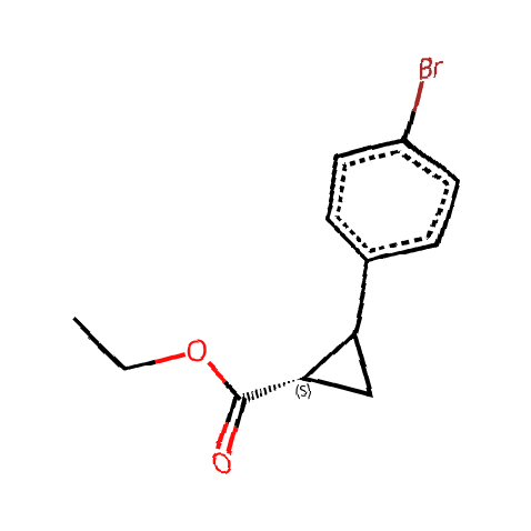 CCOC(=O)[C@H]1CC1c1ccc(Br)cc1